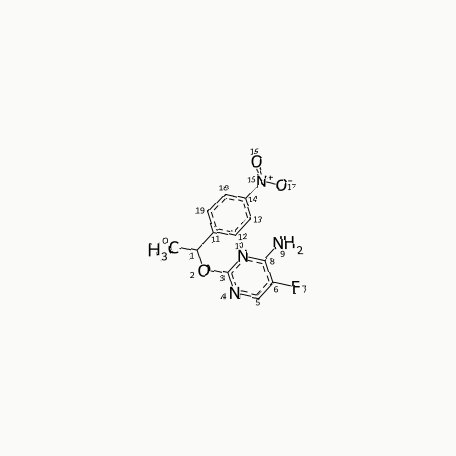 CC(Oc1ncc(F)c(N)n1)c1ccc([N+](=O)[O-])cc1